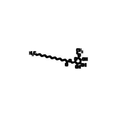 CCCCCCCCCCCCCC(=O)OC[C@H]1OC(OCC)[C@H](O)[C@@H](O)[C@@H]1O